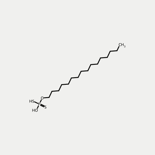 CCCCCCCCCCCCCCCCOP(O)(=S)S